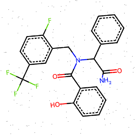 NC(=O)C(c1ccccc1)N(Cc1cc(C(F)(F)F)ccc1F)C(=O)c1ccccc1O